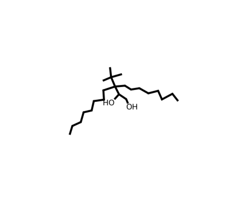 CCCCCCCCC(CCCCCCCC)(C(O)CO)C(C)(C)C